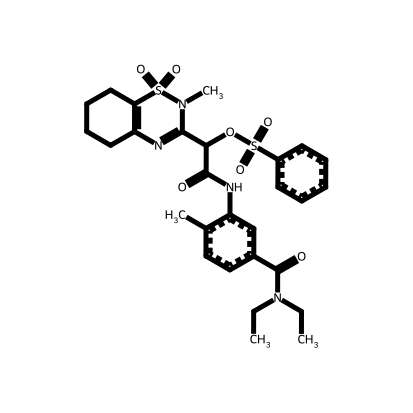 CCN(CC)C(=O)c1ccc(C)c(NC(=O)C(OS(=O)(=O)c2ccccc2)C2=NC3=C(CCCC3)S(=O)(=O)N2C)c1